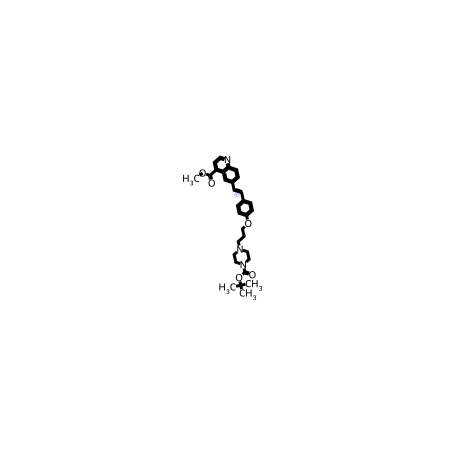 COC(=O)c1ccnc2ccc(/C=C/c3ccc(OCCCN4CCN(C(=O)OC(C)(C)C)CC4)cc3)cc12